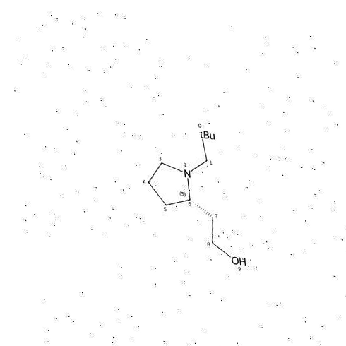 CC(C)(C)CN1CCC[C@H]1CCO